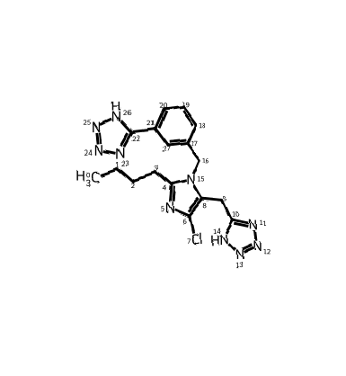 CCCCc1nc(Cl)c(Cc2nnn[nH]2)n1Cc1cccc(-c2nnn[nH]2)c1